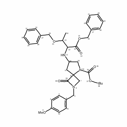 COc1ccc(CN2CC3(CC(NC(C(=O)OCc4ccccc4)C(C)OCc4ccccc4)CN3C(=O)OC(C)(C)C)C2=O)cc1